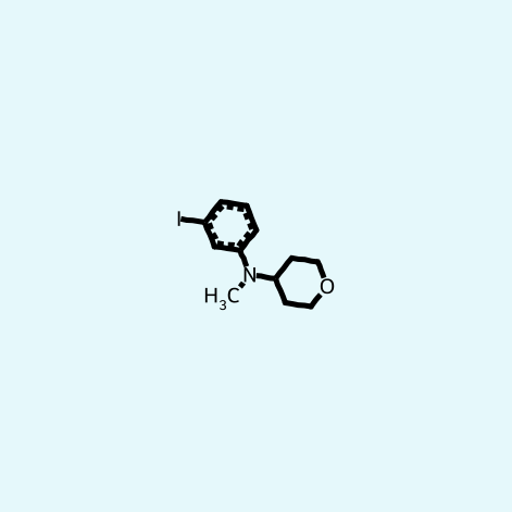 CN(c1cccc(I)c1)C1CCOCC1